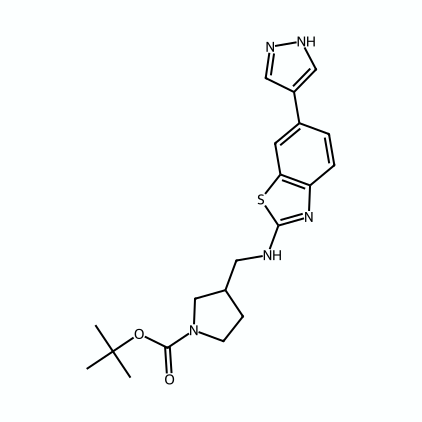 CC(C)(C)OC(=O)N1CCC(CNc2nc3ccc(-c4cn[nH]c4)cc3s2)C1